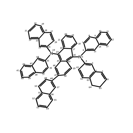 C1=Cc2cc(N(c3ccc4ccccc4c3)c3c4ccccc4c(N(c4ccc5ccccc5c4)c4ccc5ccccc5c4)c4cc(-c5ccc6ccccc6c5)ccc34)ccc2CC1